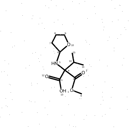 COC(=O)C(NC1CCCO1)(C(=O)O)C(C)C